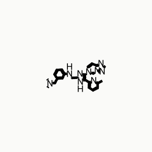 Cc1cccc(-c2[nH]c(CNc3cccc(CN(C)C)c3)nc2N2C=Cc3ncnn3C2)n1